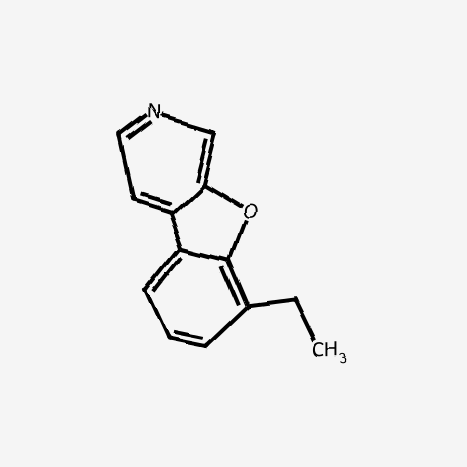 CCc1cccc2c1oc1cnccc12